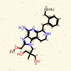 CCOCc1nc2c(N)nc3c(c2n1CC(C)(CO)CO)CCNC3Cc1ccccc1CNC(C)=O